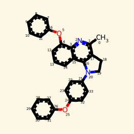 Cc1nc2c(Oc3ccccc3)cccc2c2c1CCN2c1ccc(Oc2ccccc2)cc1